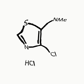 CNc1scnc1Cl.Cl